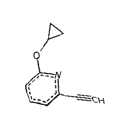 C#Cc1cccc(OC2CC2)n1